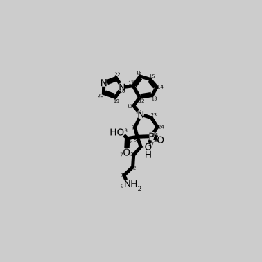 NCCCCC1(C(=O)O)CN(Cc2ccccc2-n2ccnc2)CCP1(=O)O